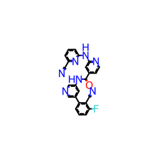 N#Cc1cccc(Nc2cc(C(=O)Nc3cncc(-c4cccc(F)c4C#N)c3)ccn2)n1